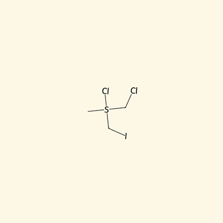 CS(Cl)(CCl)CI